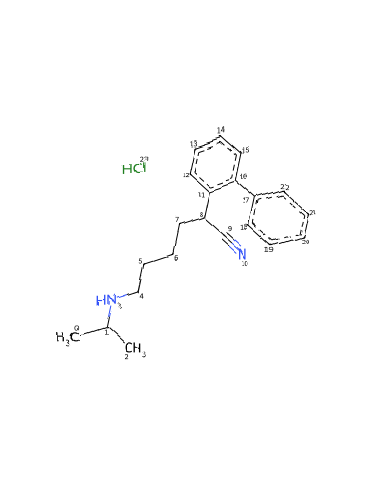 CC(C)NCCCCC(C#N)c1ccccc1-c1ccccc1.Cl